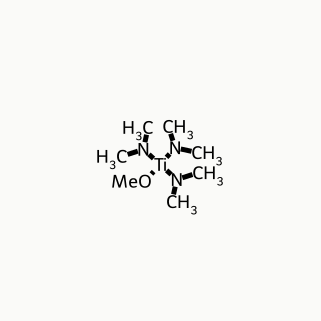 C[O][Ti]([N](C)C)([N](C)C)[N](C)C